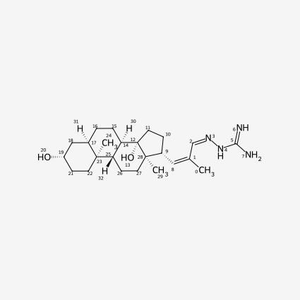 CC(/C=N\NC(=N)N)=C/[C@H]1CC[C@]2(O)[C@@H]3CC[C@@H]4C[C@@H](O)CC[C@]4(C)[C@H]3CC[C@]12C